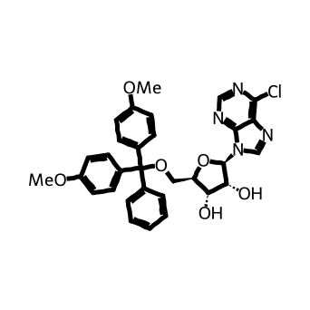 COc1ccc(C(OC[C@H]2O[C@@H](n3cnc4c(Cl)ncnc43)[C@H](O)[C@@H]2O)(c2ccccc2)c2ccc(OC)cc2)cc1